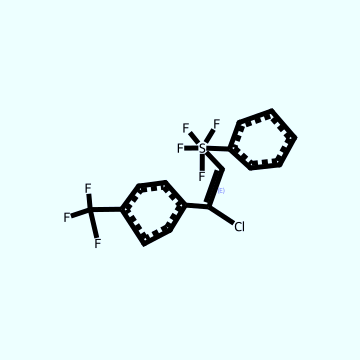 FC(F)(F)c1ccc(/C(Cl)=C\S(F)(F)(F)(F)c2ccccc2)cc1